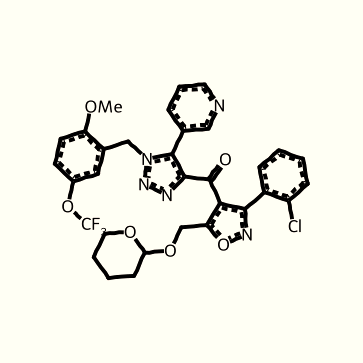 COc1ccc(OC(F)(F)F)cc1Cn1nnc(C(=O)c2c(-c3ccccc3Cl)noc2COC2CCCCO2)c1-c1cccnc1